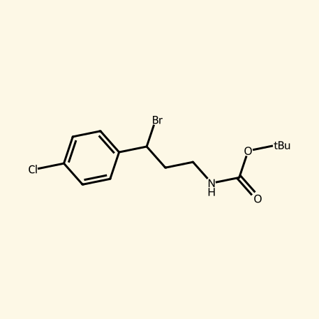 CC(C)(C)OC(=O)NCCC(Br)c1ccc(Cl)cc1